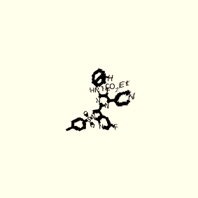 CCOC(=O)[C@H]1C2CCC(CC2)[C@@H]1Nc1nc(-c2cn(S(=O)(=O)c3ccc(C)cc3)c3ncc(F)cc23)nc(-c2ccncc2)c1F